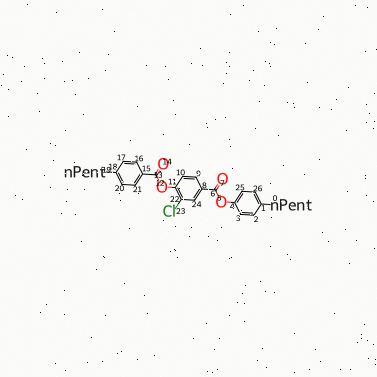 CCCCCc1ccc(OC(=O)c2ccc(OC(=O)c3ccc(CCCCC)cc3)c(Cl)c2)cc1